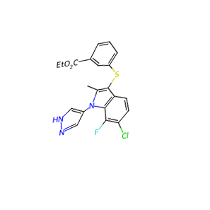 CCOC(=O)c1cccc(Sc2c(C)n(-c3cn[nH]c3)c3c(F)c(Cl)ccc23)c1